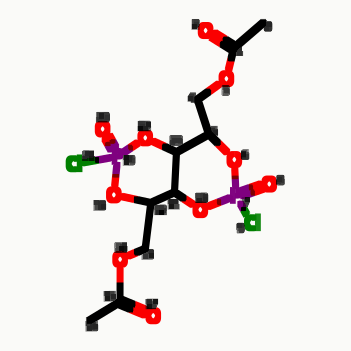 CC(=O)OCC1OP(=O)(Cl)OC2C(COC(C)=O)OP(=O)(Cl)OC12